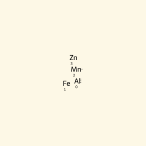 [Al].[Fe].[Mn].[Zn]